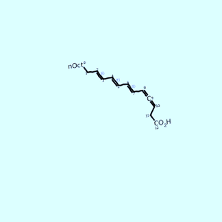 CCCCCCCCC/C=C/C=C/C=C/C=C=CCC(=O)O